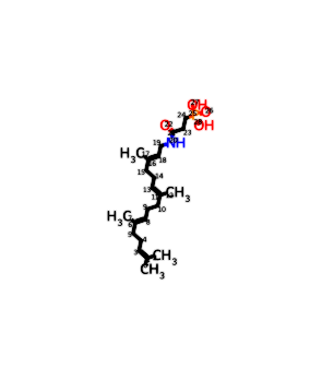 CC(C)=CCCC(C)=CCCC(C)=CCCC(C)=CCNC(=O)CCP(=O)(O)O